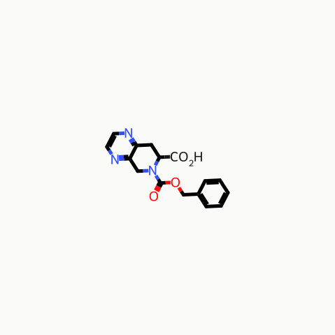 O=C(O)C1Cc2nccnc2CN1C(=O)OCc1ccccc1